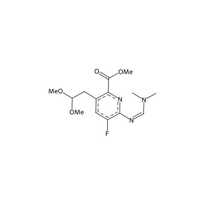 COC(=O)c1nc(/N=C\N(C)C)c(F)cc1CC(OC)OC